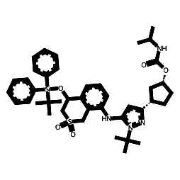 CC(C)NC(=O)O[C@@H]1CC[C@H](c2cc(Nc3cccc4c3CS(=O)(=O)CC4O[Si](c3ccccc3)(c3ccccc3)C(C)(C)C)n(C(C)(C)C)n2)C1